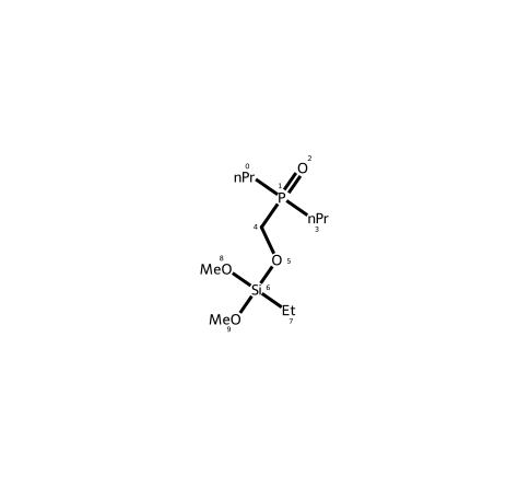 CCCP(=O)(CCC)CO[Si](CC)(OC)OC